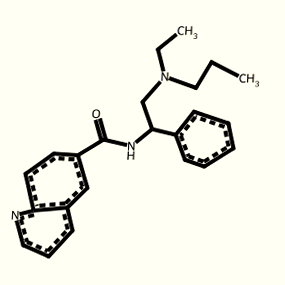 CCCN(CC)CC(NC(=O)c1ccc2ncccc2c1)c1ccccc1